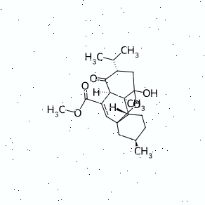 COC(=O)C1=CC23C[C@H](C)CC[C@H]2[C@@]2(C)[C@@H]1C(=O)[C@H](C(C)C)CC2(O)O3